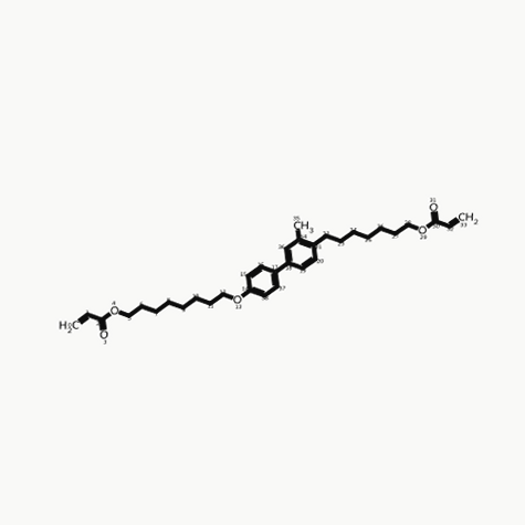 C=CC(=O)OCCCCCCCCOc1ccc(-c2ccc(CCCCCCCOC(=O)C=C)c(C)c2)cc1